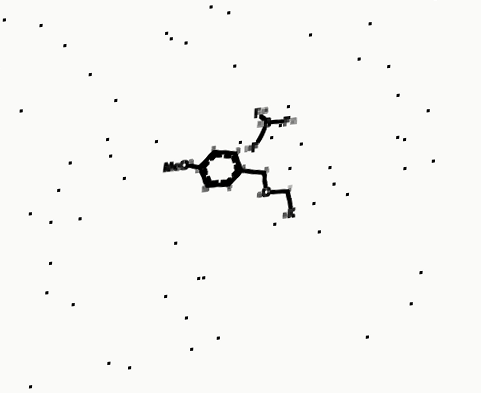 COc1ccc(CO[CH2][K])cc1.FB(F)F